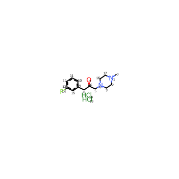 CN1CCN(CC(=O)Cc2cccc(F)c2)CC1.Cl.Cl